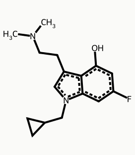 CN(C)CCc1cn(CC2CC2)c2cc(F)cc(O)c12